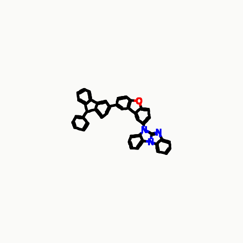 c1ccc(C2c3ccccc3-c3cc(-c4ccc5oc6ccc(-n7c8ccccc8n8c9ccccc9nc78)cc6c5c4)ccc32)cc1